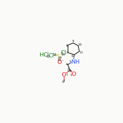 COC(=O)CNC1CCCCC1.Cl.[O-][S+](Cl)Cl